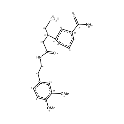 COc1ccc(CCNC(=O)CN(CS(=O)(=O)O)c2cccc(C(N)=O)c2)cc1OC